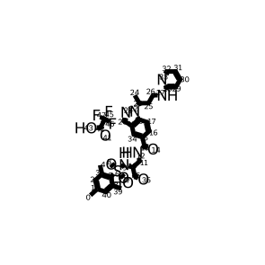 Cc1cc(C)c(S(=O)(=O)NC(CNC(=O)c2ccc3c(cnn3C(C)CCNc3ccccn3)c2)C(=O)O)c(C)c1.O=C(O)C(F)(F)F